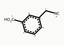 [C-]#[N+]Cc1cccc(C(=O)O)c1